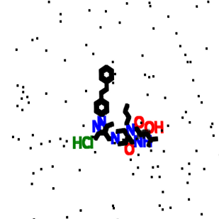 CCCCN1C(=O)[C@@H]([C@H](O)C(C)C)NC(=O)C12CCN(Cc1c(C)nn(-c3ccc(CCc4ccccc4)cc3)c1C)CC2.Cl